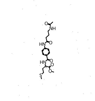 COC(=O)[C@@H](CCSC)NC(=O)c1ccc(NC(=O)CCCNC(C)=O)cc1